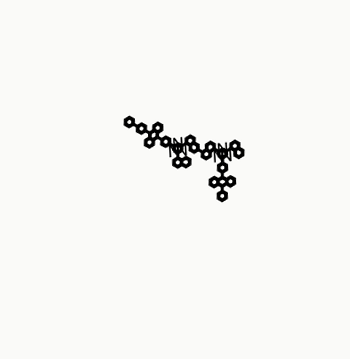 c1ccc(-c2ccc(-c3c4ccccc4c(-c4ccc(-c5nc(-c6cccc7ccccc67)nc(-c6cccc7cc(-c8cccc9c(-c%10nc(-c%11ccc(-c%12c%13ccccc%13c(-c%13ccccc%13)c%13ccccc%12%13)cc%11)nc(-c%11cccc%12ccccc%11%12)n%10)cccc89)ccc67)n5)cc4)c4ccccc34)cc2)cc1